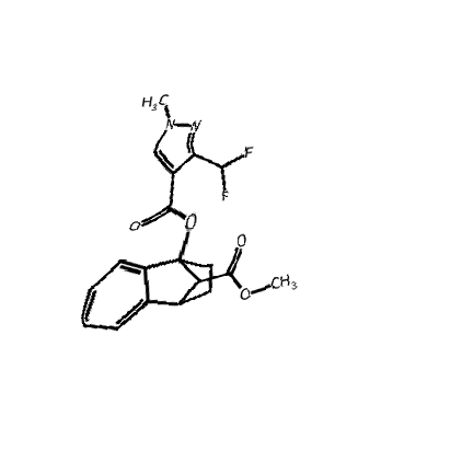 COC(=O)C1C2CCC1(OC(=O)c1cn(C)nc1C(F)F)c1ccccc12